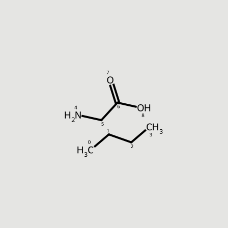 CCCC.NCC(=O)O